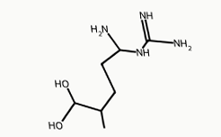 CC(CCC(N)NC(=N)N)C(O)O